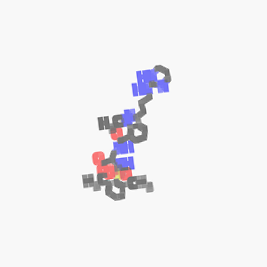 Cc1cccc(C)c1S(=O)(=O)NC(CNC(=O)c1cccc2c(CCCNC3N=CCCN3)nn(C)c12)C(=O)O